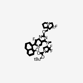 CN(c1nc(OC[C@@]23CCCN2C[C@H](F)C3)nc2c(F)c(-c3cccc4cccc(Cl)c34)ncc12)[C@H]1CN(C(=O)OC(C)(C)C)CC1(F)F